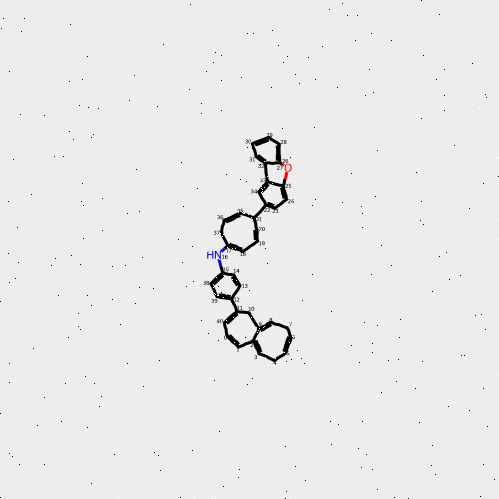 C1=CC2=C/C/C=C\C/C=C\2CC(c2ccc(N/C3=C/C=C\C(c4ccc5oc6ccccc6c5c4)/C=C\C3)cc2)=C1